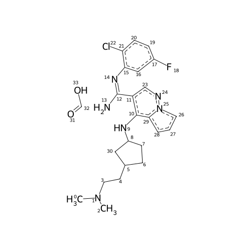 CN(C)CCC1CCC(Nc2c(C(N)=Nc3cc(F)ccc3Cl)cnn3cccc23)C1.O=CO